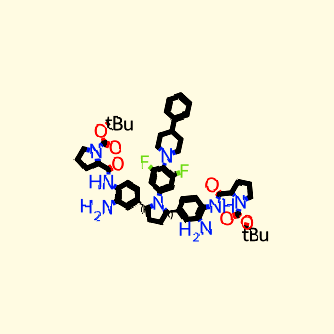 CC(C)(C)OC(=O)N1CCCC1C(=O)Nc1ccc([C@H]2CC[C@H](c3ccc(NC(=O)C4CCCN4C(=O)OC(C)(C)C)c(N)c3)N2c2cc(F)c(N3CCC(c4ccccc4)CC3)c(F)c2)cc1N